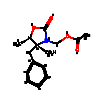 C[C@@H]1OC(=O)N(COC(=O)C(C)(C)C)[C@]1(Cc1ccccc1)C(=O)O